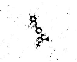 N[C@H](Cc1cc(F)c(F)cc1F)C1CCN(C(=O)c2cnc(C(F)(F)F)nc2C2CC2)CC1